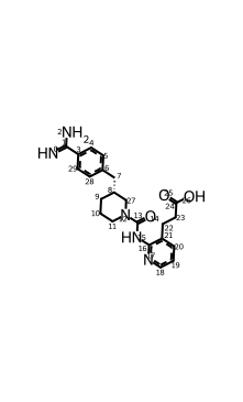 N=C(N)c1ccc(C[C@H]2CCCN(C(=O)Nc3ncccc3CCC(=O)O)C2)cc1